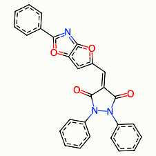 O=C1C(=Cc2cc3oc(-c4ccccc4)nc3o2)C(=O)N(c2ccccc2)N1c1ccccc1